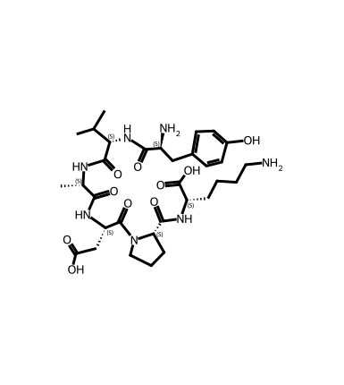 CC(C)[C@H](NC(=O)[C@@H](N)Cc1ccc(O)cc1)C(=O)N[C@@H](C)C(=O)N[C@@H](CC(=O)O)C(=O)N1CCC[C@H]1C(=O)N[C@@H](CCCCN)C(=O)O